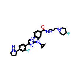 O=C(NCCCN1CCC(F)CC1)c1ccc2c(c1)n(C1CC1)c1nc(-c3ccc(C4CCCN4)cc3F)cn21